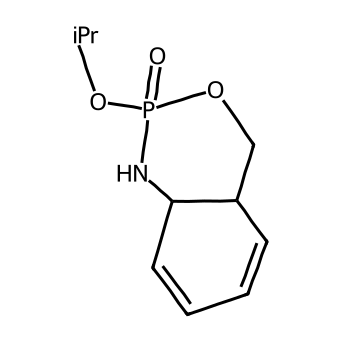 CC(C)OP1(=O)NC2C=CC=CC2CO1